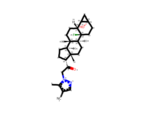 Cc1c(C#N)cnn1CC(=O)[C@@H]1CC[C@H]2[C@@H]3CC[C@@H]4C5C[C@@]5(O)CC[C@]4(F)[C@H]3CC[C@]12C